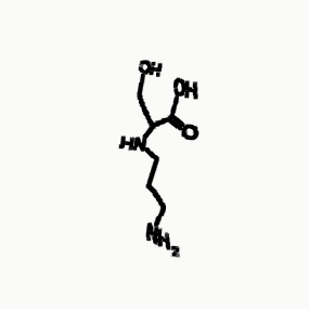 NCCCNC(CO)C(=O)O